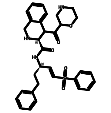 O=C(C1CNCCO1)C1c2ccccc2CN[C@@H]1C(=O)N[C@H](C=CS(=O)(=O)c1ccccc1)CCc1ccccc1